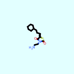 NCCN1C(=O)S/C(=C/CCC2CCCCC2)C1=O